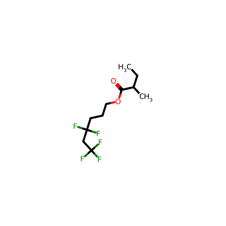 CCC(C)C(=O)OCCCC(F)(F)CC(F)(F)F